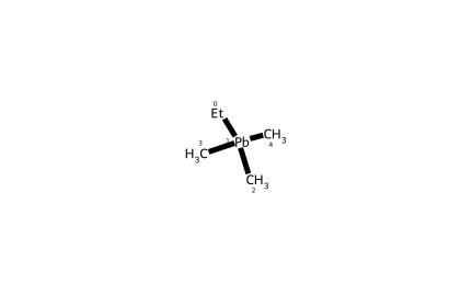 C[CH2][Pb]([CH3])([CH3])[CH3]